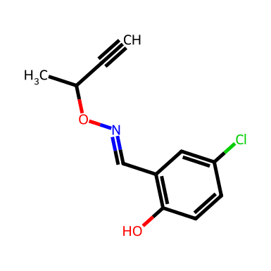 C#CC(C)ON=Cc1cc(Cl)ccc1O